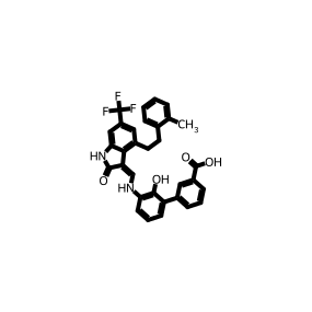 Cc1ccccc1CCc1cc(C(F)(F)F)cc2c1/C(=C/Nc1cccc(-c3cccc(C(=O)O)c3)c1O)C(=O)N2